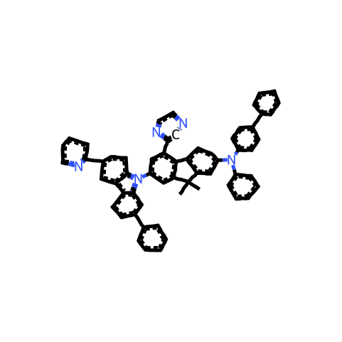 CC1(C)c2cc(N(c3ccccc3)c3ccc(-c4ccccc4)cc3)ccc2-c2c(-c3cnccn3)cc(-n3c4ccc(-c5ccccn5)cc4c4ccc(-c5ccccc5)cc43)cc21